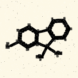 CCCCC1(CCCC)c2ccccc2-c2ccc(Br)cc21